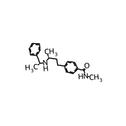 CNC(=O)c1ccc(CC[C@H](C)N[C@@H](C)c2ccccc2)cc1